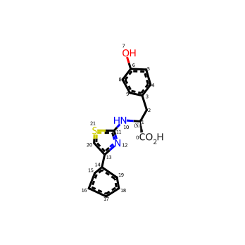 O=C(O)[C@H](Cc1ccc(O)cc1)Nc1nc(-c2ccccc2)cs1